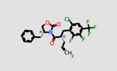 C=CC[C@@H](Cc1c(Cl)cc(C(F)(F)F)c(F)c1F)C(=O)N1C(=O)OC[C@H]1Cc1ccccc1